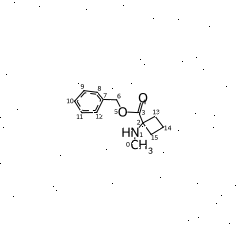 CNC1(C(=O)OCc2ccccc2)CCC1